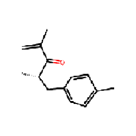 C=C(C)C(=O)[C@@H](C)Cc1ccc(C)cc1